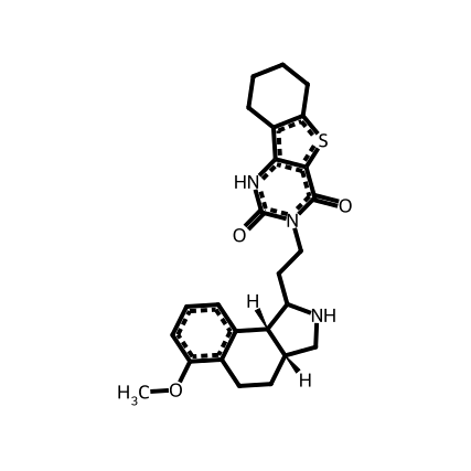 COc1cccc2c1CC[C@H]1CNC(CCn3c(=O)[nH]c4c5c(sc4c3=O)CCCC5)[C@@H]21